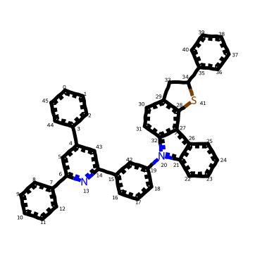 c1ccc(-c2cc(-c3ccccc3)nc(-c3cccc(-n4c5ccccc5c5c6c(ccc54)CC(c4ccccc4)S6)c3)c2)cc1